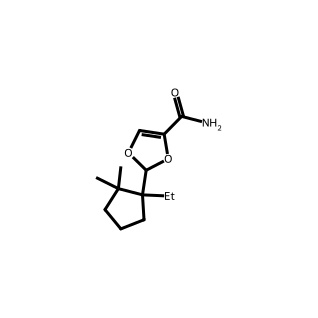 CCC1(C2OC=C(C(N)=O)O2)CCCC1(C)C